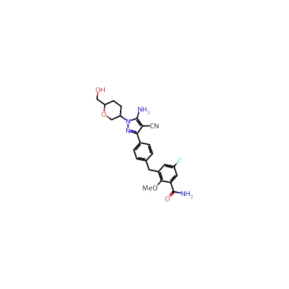 COc1c(Cc2ccc(-c3nn(C4CCC(CO)OC4)c(N)c3C#N)cc2)cc(F)cc1C(N)=O